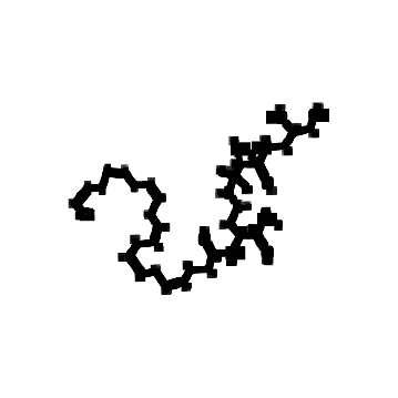 CC/C=C\C/C=C\C/C=C\C/C=C\C/C=C\C/C=C\CCC(=O)N[C@@H](CSSC(C)(C)[C@H](N)C(=O)NC[C@@H](O)CO)C(N)=O